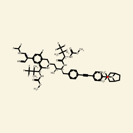 COC(=O)N[C@H](C(=O)N[C@@H](Cc1ccc(C#Cc2ccc(N3CC4CCC(C3)N4C(C)C)nc2)cc1)[C@@H](O)CN(Cc1c(F)cc(/C(C=N)=C/NC(F)F)cc1F)NC(=O)[C@@H](NC(=O)OC)C(C)(C)C(F)(F)F)C(C)(C)C(F)(F)F